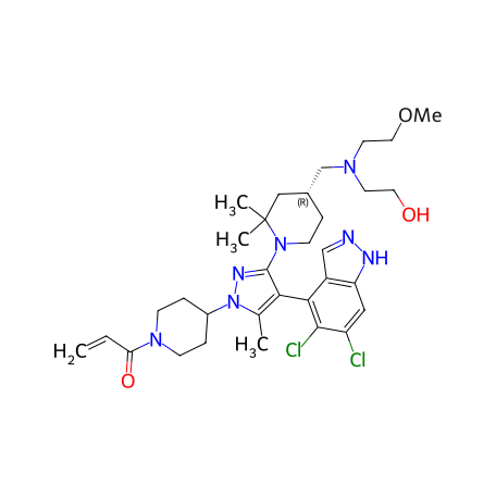 C=CC(=O)N1CCC(n2nc(N3CC[C@@H](CN(CCO)CCOC)CC3(C)C)c(-c3c(Cl)c(Cl)cc4[nH]ncc34)c2C)CC1